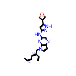 C=C/C(=C\C=C/C)Cn1ccc2ncc(Nc3cc(C4COC4)[nH]n3)nc21